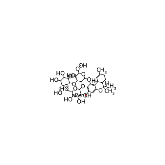 CCCCCc1cc(O[C@@H]2O[C@H](OO)[C@@H](O)[C@H](O[C@@H]3O[C@H](CO)[C@@H](O)[C@H](O)[C@H]3O)[C@H]2O[C@@H]2O[C@H](CO)[C@@H](O)[C@H](O)[C@H]2O)c2c(c1)OC(C)(C)[C@@H]1CCC(C)=C[C@@H]21